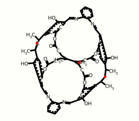 CC12CC(C)(C1)c1cc3cc(c1O)/C=N/c1ccccc1/N=C/c1cc4cc(c1O)C1(C)CC(C)(C1)c1cc5cc(c1O)/C=N/c1ccccc1/N=C/c1cc(cc2c1O)OC(=O)CCC(C)(CCC(=O)O3)C(C)(CCC(=O)O5)CCC(=O)O4